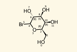 OC[C@H]1O[C](Br)[C@H](O)[C@@H](O)[C@H]1O